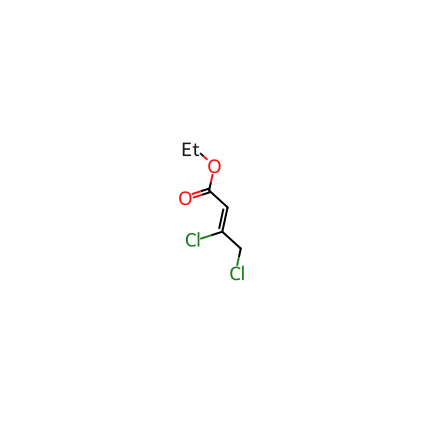 CCOC(=O)C=C(Cl)CCl